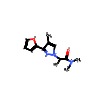 CCCC(C(=O)N(C)C)n1cc(C)c(-c2ccco2)n1